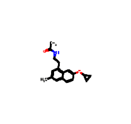 CC(=O)NCCc1cc(C)cc2ccc(OC3CC3)cc12